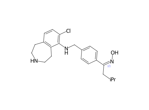 CC(C)C/C(=N/O)c1ccc(CNc2c(Cl)ccc3c2CCNCC3)cc1